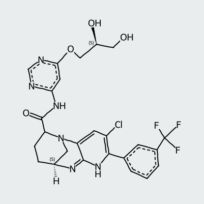 O=C(Nc1cc(OC[C@@H](O)CO)ncn1)C1CC[C@H]2CN1C1=CC(Cl)=C(c3cccc(C(F)(F)F)c3)NC1=N2